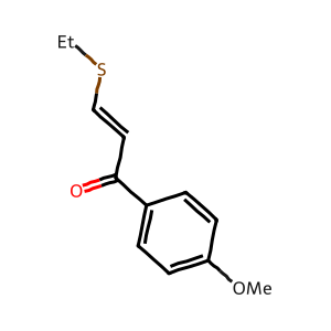 CCSC=CC(=O)c1ccc(OC)cc1